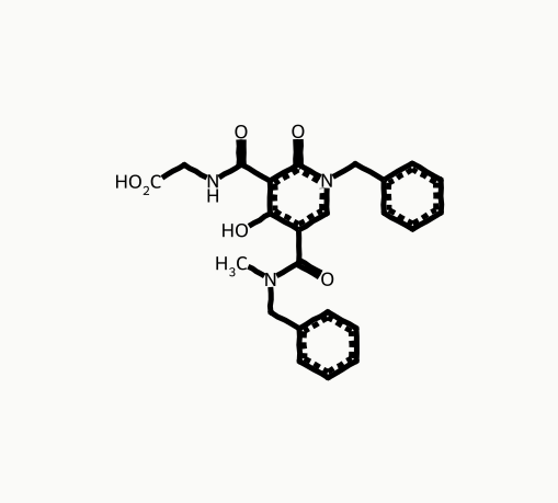 CN(Cc1ccccc1)C(=O)c1cn(Cc2ccccc2)c(=O)c(C(=O)NCC(=O)O)c1O